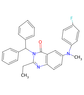 CCc1nc2ccc(N(C)c3ccc(F)cc3)cc2c(=O)n1C(c1ccccc1)c1ccccc1